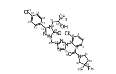 O=C(c1cccc(Cl)c1-n1cnc(Cn2nc(-c3ccc(Cl)cc3)n(CC(O)C(F)(F)F)c2=O)n1)N1CCC(F)(F)C1